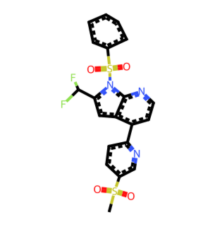 CS(=O)(=O)c1ccc(-c2ccnc3c2cc(C(F)F)n3S(=O)(=O)c2ccccc2)nc1